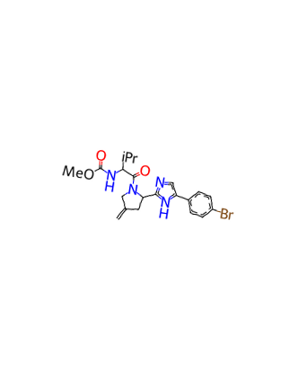 C=C1CC(c2ncc(-c3ccc(Br)cc3)[nH]2)N(C(=O)C(NC(=O)OC)C(C)C)C1